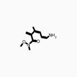 C=C(C(=O)N(C)OC)/C(C)=C\C=C/N